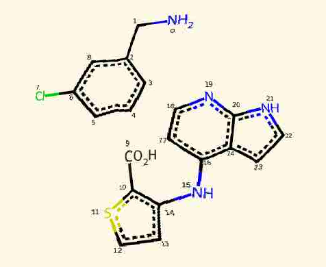 NCc1cccc(Cl)c1.O=C(O)c1sccc1Nc1ccnc2[nH]ccc12